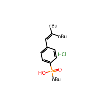 CCCCC(=Cc1ccc(P(=O)(O)CCCC)cc1)CCCC.Cl